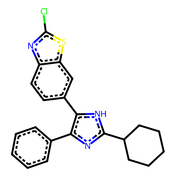 Clc1nc2ccc(-c3[nH]c(C4CCCCC4)nc3-c3ccccc3)cc2s1